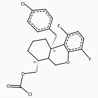 O=C(Cl)OC[C@@H]1CCC[C@@]2(Cc3ccc(Cl)cc3)c3c(F)ccc(F)c3OCC12